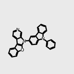 c1ccc(-n2c3ccccc3c3cc(-n4c5cnccc5c5c6ccccc6oc54)ccc32)cc1